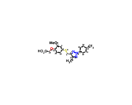 COc1cc(SCc2nn(-c3ccc(C(F)(F)F)cc3)nc2C)ccc1OCC(=O)O